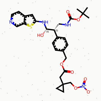 CC(C)(C)OC(=O)NC[C@H](c1ccc(COC(=O)CC2(CO[N+](=O)[O-])CC2)cc1)[C@H](O)Nc1cc2ccncc2s1